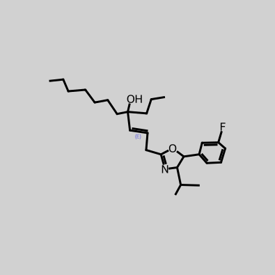 CCCCCCCC(O)(/C=C/CC1=NC(C(C)C)C(c2cccc(F)c2)O1)CCC